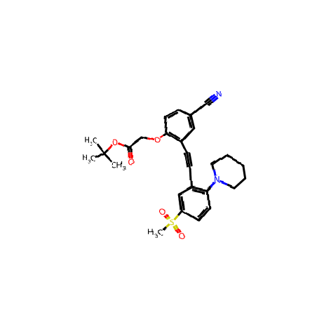 CC(C)(C)OC(=O)COc1ccc(C#N)cc1C#Cc1cc(S(C)(=O)=O)ccc1N1CCCCC1